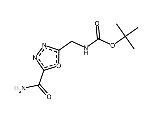 CC(C)(C)OC(=O)NCc1nnc(C(N)=O)o1